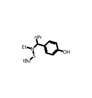 CCCC(c1ccc(O)cc1)N(CC)SC(C)(C)C